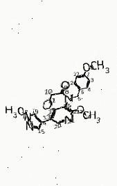 COc1ccc(CN2C(=O)COc3c(-c4cnn(C)c4)cnc(OC)c32)cc1